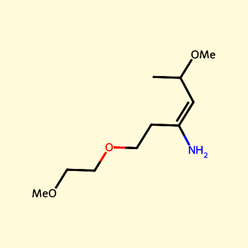 COCCOCC/C(N)=C\C(C)OC